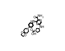 NC(=O)c1ncc(N[C@@H]2CCN(C(=O)O)C2)nc1Nc1ccc(N2CCC3(CC2)OCCO3)cc1